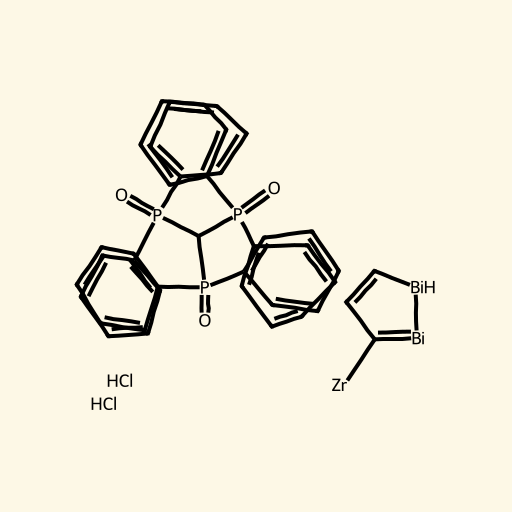 Cl.Cl.O=P(c1ccccc1)(c1ccccc1)C(P(=O)(c1ccccc1)c1ccccc1)P(=O)(c1ccccc1)c1ccccc1.[Zr][C]1=[Bi][BiH][CH]=C1